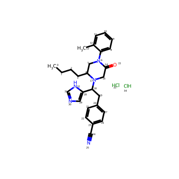 CCCCC1CN(c2ccccc2C)C(=O)CN1C(Cc1ccc(C#N)cc1)c1cnc[nH]1.Cl.Cl